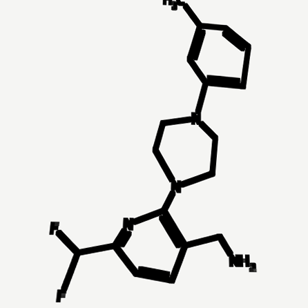 Cc1cccc(N2CCN(c3nc(C(F)F)ccc3CN)CC2)c1